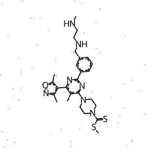 CNCCNCc1cccc(-c2nc(-c3c(C)noc3C)c(C)c(N3CCN(C(=S)SC)CC3)n2)c1